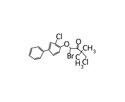 CC(C)(CCl)C(=O)C(Br)Oc1ccc(-c2ccccc2)cc1Cl